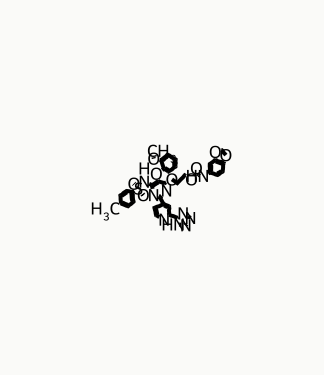 COc1ccccc1Oc1c(NS(=O)(=O)c2ccc(C)cc2)nc(-c2ccnc(-c3nnn[nH]3)c2)nc1OCCOC(=O)Nc1ccc2c(c1)OCO2